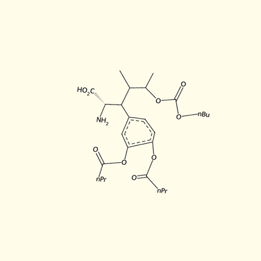 CCCCOC(=O)OC(C)C(C)C(c1ccc(OC(=O)CCC)c(OC(=O)CCC)c1)[C@H](N)C(=O)O